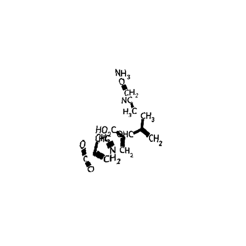 C#N.C=C(C)C=O.C=CC.C=CC(=O)O.C=O.CC#N.N.O=C=O